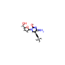 C[Si](C)(C)C#Cc1cn([C@H]2CC[C@@H](CO)O2)c(=O)nc1N